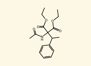 CCOC(=O)C(NC(C)=O)(C(=O)OCC)C(C)c1ccccc1